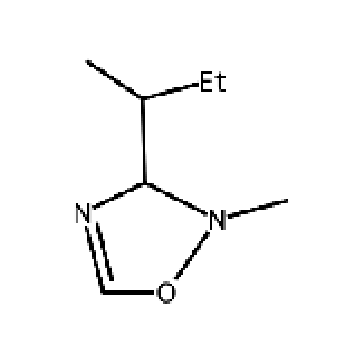 CCC(C)C1N=CON1C